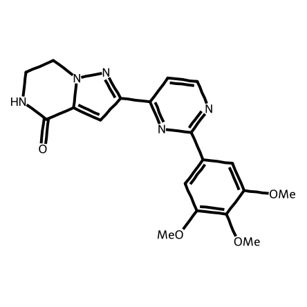 COc1cc(-c2nccc(-c3cc4n(n3)CCNC4=O)n2)cc(OC)c1OC